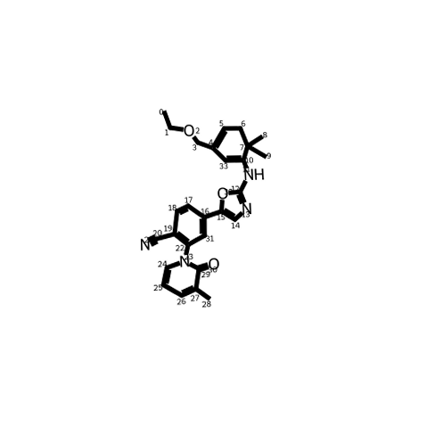 CCOCC1=CCC(C)(C)C(Nc2ncc(-c3ccc(C#N)c(-n4cccc(C)c4=O)c3)o2)=C1